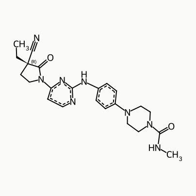 CC[C@]1(C#N)CCN(c2ccnc(Nc3ccc(N4CCN(C(=O)NC)CC4)cc3)n2)C1=O